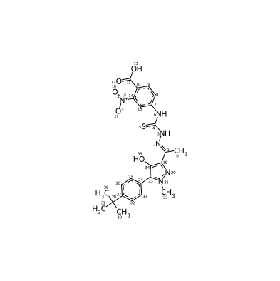 C/C(=N\NC(=S)Nc1ccc(C(=O)O)c([N+](=O)[O-])c1)c1nn(C)c(-c2ccc(C(C)(C)C)cc2)c1O